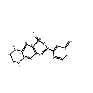 C=C/C=C(\C=C/C)c1nc2cc3c(cc2c(=O)o1)OCCO3